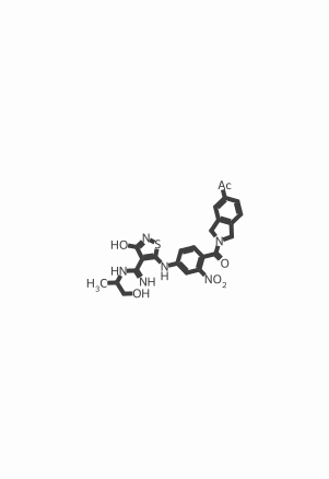 CC(=O)c1ccc2c(c1)CN(C(=O)c1ccc(Nc3snc(O)c3C(=N)NC(C)CO)cc1[N+](=O)[O-])C2